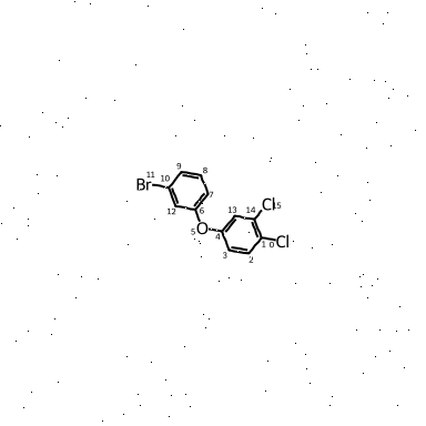 Clc1ccc(Oc2cccc(Br)c2)cc1Cl